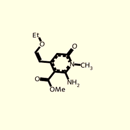 CCO/C=C\c1cc(=O)n(C)c(N)c1C(=O)OC